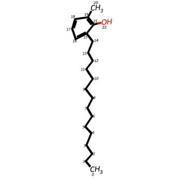 CCCCCCCCCCCCCCCc1cccc(C)c1O